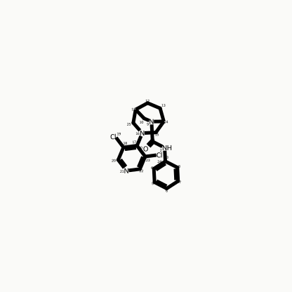 O=C(Nc1ccccc1)N1CC2CCC1CN(c1c(Cl)cncc1Cl)C2